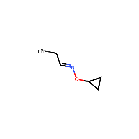 CCCCC=NOC1CC1